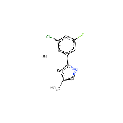 O=C(O)c1cnc(-c2cc(F)cc(Cl)c2)[se]1.[LiH]